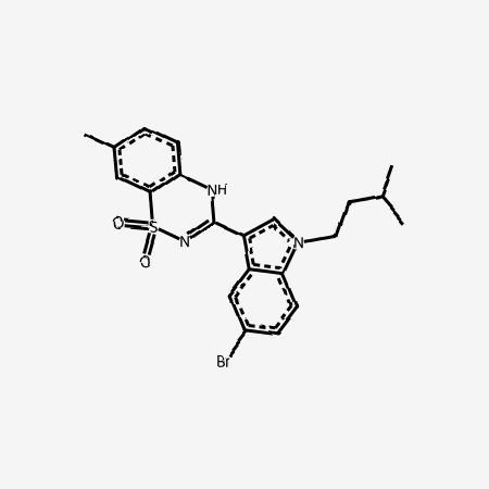 Cc1ccc2c(c1)S(=O)(=O)N=C(c1cn(CCC(C)C)c3ccc(Br)cc13)N2